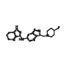 FC1CCN(Cc2nsc3cc(Nc4n[nH]c5cccnc45)cnc23)CC1